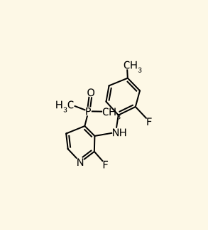 Cc1ccc(Nc2c(P(C)(C)=O)ccnc2F)c(F)c1